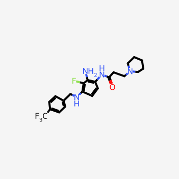 Nc1c(NC(=O)CCN2CCCCC2)ccc(NCc2ccc(C(F)(F)F)cc2)c1F